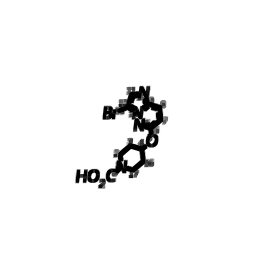 O=C(O)N1CCC(Oc2ccc3ncc(Br)n3n2)CC1